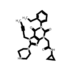 CC#CCn1c(N2CCNCC2)nc2c1c(=O)n(-c1ccccc1CC)c(=O)n2CC(=O)NC1CC1